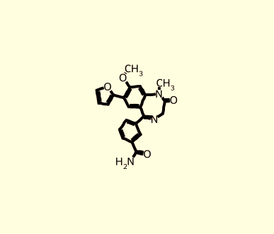 COc1cc2c(cc1-c1ccco1)C(c1cccc(C(N)=O)c1)=NCC(=O)N2C